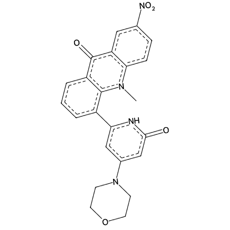 Cn1c2ccc([N+](=O)[O-])cc2c(=O)c2cccc(-c3cc(N4CCOCC4)cc(=O)[nH]3)c21